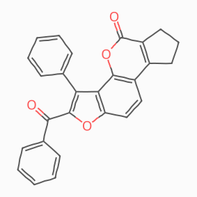 O=C(c1ccccc1)c1oc2ccc3c4c(c(=O)oc3c2c1-c1ccccc1)CCC4